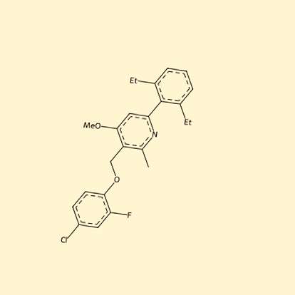 CCc1cccc(CC)c1-c1cc(OC)c(COc2ccc(Cl)cc2F)c(C)n1